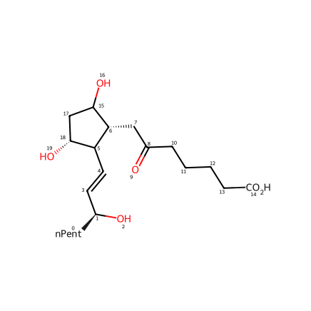 CCCCC[C@H](O)/C=C/C1[C@@H](CC(=O)CCCCC(=O)O)C(O)C[C@H]1O